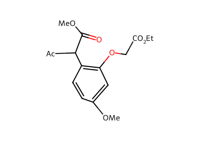 CCOC(=O)COc1cc(OC)ccc1C(C(C)=O)C(=O)OC